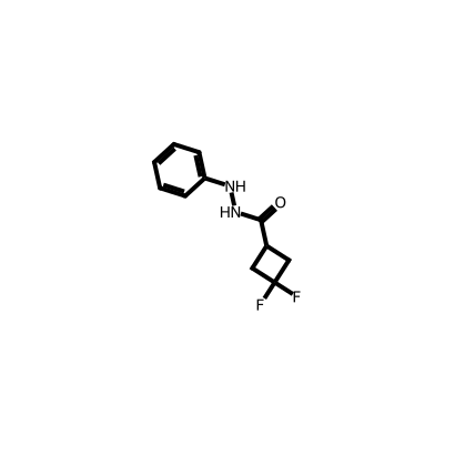 O=C(NNc1ccccc1)C1CC(F)(F)C1